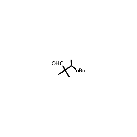 CCCCC(C)C(C)(C)C=O